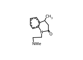 CNCCN1C(=O)CC(C)c2ccccc21